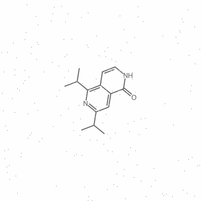 CC(C)c1cc2c(=O)[nH]ccc2c(C(C)C)n1